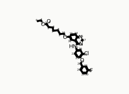 CCOC(=O)CCCCCCOc1ccc2ncnc(Nc3ccc(OCc4cccc(F)c4)c(Cl)c3)c2c1